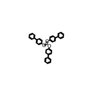 C1=C(OP(Oc2ccc(-c3ccccc3)cc2)Oc2ccc(-c3ccccc3)cc2)CCC(c2ccccc2)=C1